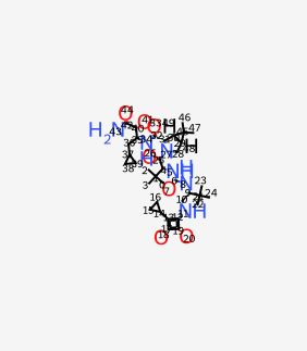 CC(C)(C)[C@H](NC(=O)N[C@H](CNc1c(C2CC2)c(=O)c1=O)C(C)(C)C)C(=O)N1C[C@H]2[C@@H]([C@H]1C(=O)NC(CC1CC1)C(=O)C(N)=O)C2(C)C